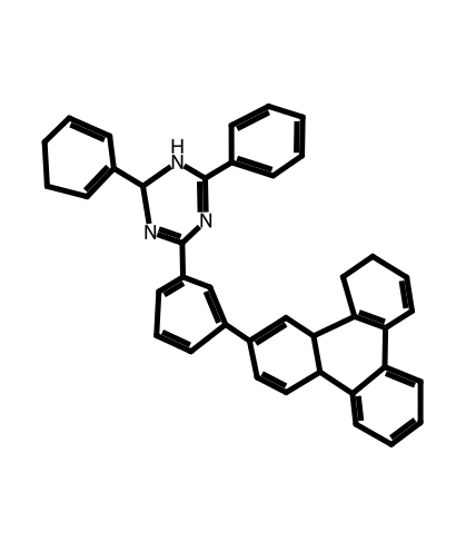 C1=CC(C2N=C(c3cccc(C4=CC5C6=C(C=CCC6)c6ccccc6C5C=C4)c3)N=C(c3ccccc3)N2)=CCC1